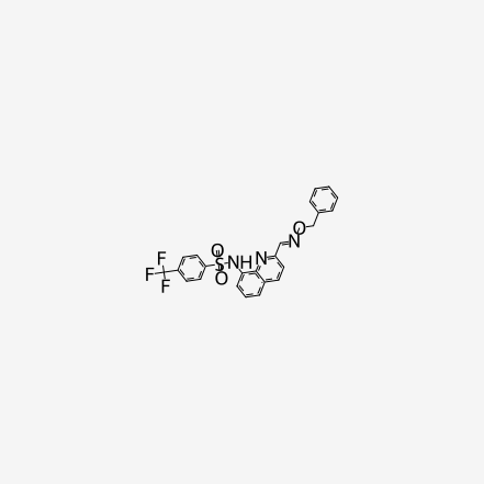 O=S(=O)(Nc1cccc2ccc(/C=N/OCc3ccccc3)nc12)c1ccc(C(F)(F)F)cc1